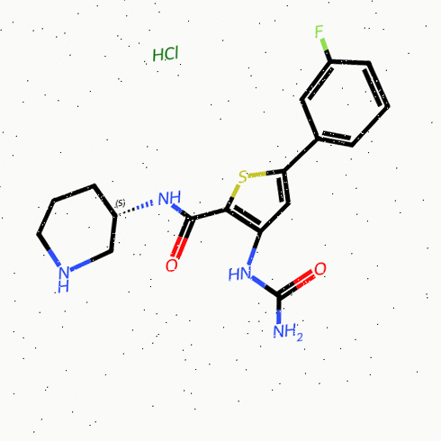 Cl.NC(=O)Nc1cc(-c2cccc(F)c2)sc1C(=O)N[C@H]1CCCNC1